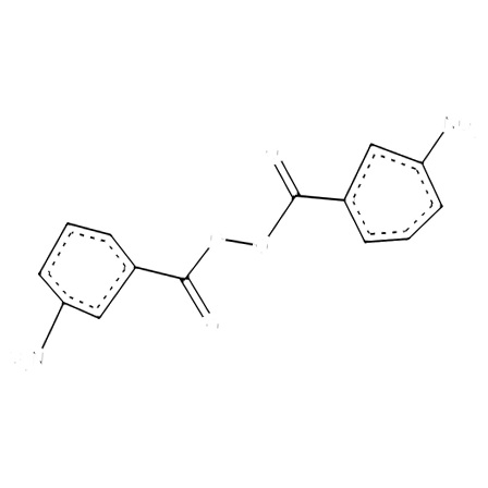 O=C(OOC(=O)c1cccc([N+](=O)[O-])c1)c1cccc([N+](=O)[O-])c1